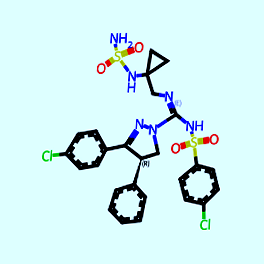 NS(=O)(=O)NC1(C/N=C(/NS(=O)(=O)c2ccc(Cl)cc2)N2C[C@@H](c3ccccc3)C(c3ccc(Cl)cc3)=N2)CC1